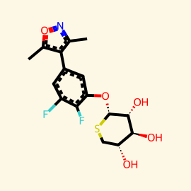 Cc1noc(C)c1-c1cc(F)c(F)c(O[C@H]2SC[C@@H](O)[C@H](O)[C@H]2O)c1